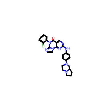 O=c1c2cnc(Nc3ccc(N4CCN5CCCC5C4)cc3)nc2n2ccnc2n1-c1ccccc1Cl